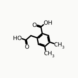 Cc1cc(CC(=O)O)c(C(=O)O)cc1C